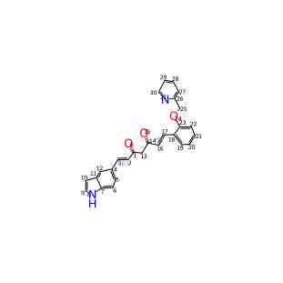 O=C(/C=C/c1ccc2[nH]ccc2c1)CC(=O)/C=C/c1ccccc1OCc1ccccn1